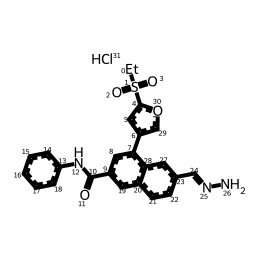 CCS(=O)(=O)c1cc(-c2cc(C(=O)Nc3ccccc3)cc3ccc(C=NN)cc23)co1.Cl